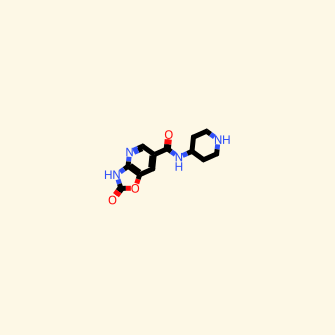 O=C(NC1CCNCC1)c1cnc2[nH]c(=O)oc2c1